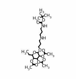 CCC1OC(OCCCNCCCNC(=O)OC(C)(C)C)C(OC(C)=O)C(OC(C)=O)C1OC(C)=O